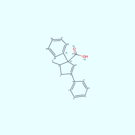 CC1CC(c2ccccc2)=CC1(C(=O)O)c1ccccc1